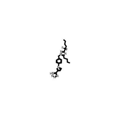 CCCCc1nc(C(F)(F)CCCC)nn1Cc1ccc(-n2ccc(-c3nnn[nH]3)c2)cc1